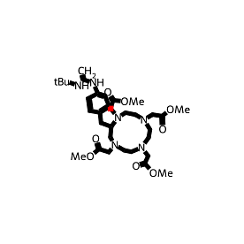 C=C(Nc1ccc(CC2CN(CC(=O)OC)CCN(CC(=O)OC)CCN(CC(=O)OC)CCN2CC(=O)OC)cc1)NC(C)(C)C